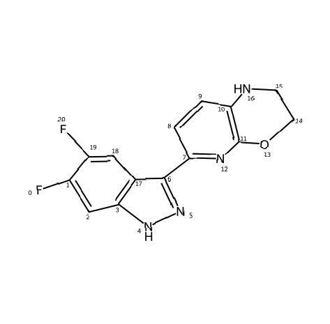 Fc1cc2[nH]nc(-c3ccc4c(n3)OCCN4)c2cc1F